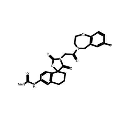 CNC(=O)Nc1ccc2c(c1)CCCC21OC(=O)N(CC(=O)N2CCOc3ccc(F)cc3C2)C1=O